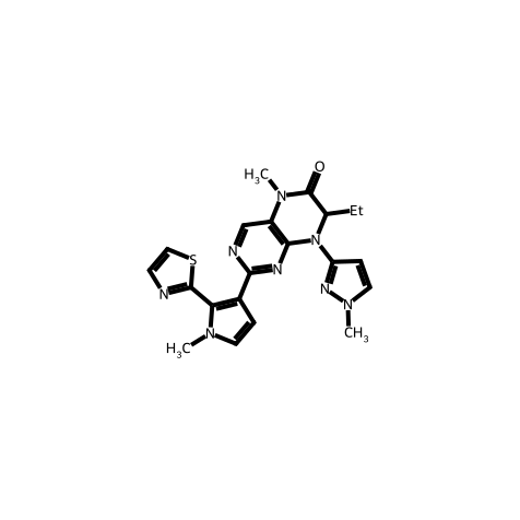 CCC1C(=O)N(C)c2cnc(-c3ccn(C)c3-c3nccs3)nc2N1c1ccn(C)n1